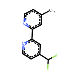 FC(F)c1ccnc(-c2cc(C(F)(F)F)ccn2)c1